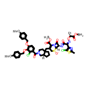 BOC(=O)C1=C(CC23CCC[C@H]2CN(C(=O)c2ccc(OCc4ccc(OC)cc4)c(OCc4ccc(OC)cc4)c2Cl)CC3)C[S+]([O-])[C@@H]2[C@H](NC(=O)/C(=N\O[C@H](CC)C(=O)OB)c3nc(C)sc3Cl)C(=O)N12